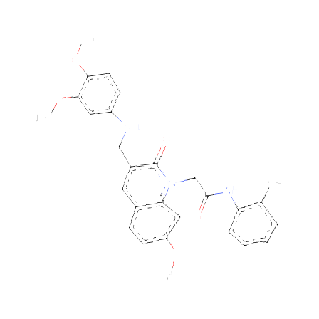 COc1ccc2cc(CNc3ccc(OC)c(OC)c3)c(=O)n(CC(=O)Nc3ccccc3C)c2c1